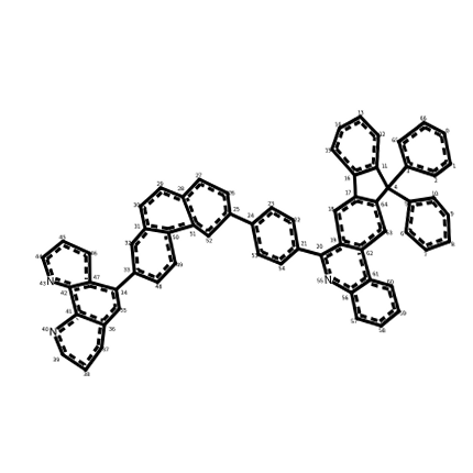 c1ccc(C2(c3ccccc3)c3ccccc3-c3cc4c(-c5ccc(-c6ccc7ccc8cc(-c9cc%10cccnc%10c%10ncccc9%10)ccc8c7c6)cc5)nc5ccccc5c4cc32)cc1